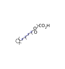 CC1=C(/C=C/C(C)=C/C=C/C(C)=C/C(=O)OCC(C)C(=O)O)C(C)(C)CCC1